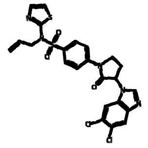 C=CCN(c1nccs1)S(=O)(=O)c1ccc(N2CCC(n3cnc4cc(Cl)c(Cl)cc43)C2=O)cc1